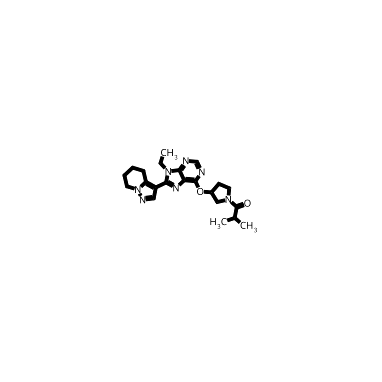 CCn1c(-c2cnn3c2CCCC3)nc2c(OC3CCN(C(=O)C(C)C)C3)ncnc21